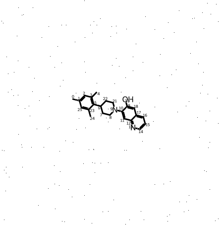 Cc1cc(C)c(C2CCN(c3cc4ncccc4cc3O)CC2)c(C)c1